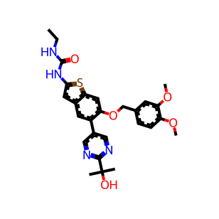 CCNC(=O)Nc1cc2cc(-c3cnc(C(C)(C)O)nc3)c(OCc3ccc(OC)c(OC)c3)cc2s1